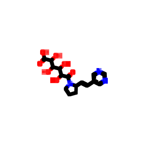 O=C(O)C(O)C(O)C(O)C(O)C(=O)N1CCCC1C=Cc1cncnc1